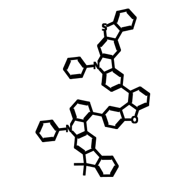 CC1(C)c2ccccc2-c2cc3c4c(-c5ccc6oc7cccc(-c8ccc9c(c8)c8cc%10c(cc8n9-c8ccccc8)sc8ccccc8%10)c7c6c5)cccc4n(-c4ccccc4)c3cc21